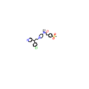 CCN(C(=O)Cc1ccc(S(C)(=O)=O)cc1)C1CCN(CCC(c2ccncc2)c2ccc(Cl)cc2)CC1